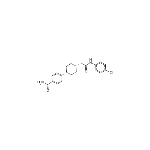 NC(=O)c1ccc([C@H]2CC[C@@H](CC(=O)Nc3ccc(Cl)cc3)CC2)cc1